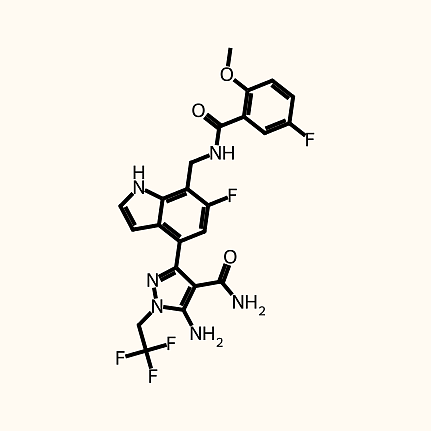 COc1ccc(F)cc1C(=O)NCc1c(F)cc(-c2nn(CC(F)(F)F)c(N)c2C(N)=O)c2cc[nH]c12